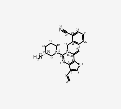 C=Cc1csc2c1N=C(N1CCC[C@@H](N)C1)N(Cc1ccccc1C#N)C2=C